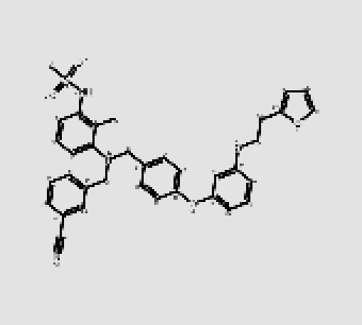 Cc1c(NS(C)(=O)=O)cccc1N(Cc1ccc(Oc2cccc(OCCc3ccco3)c2)cc1)Cc1cccc(C#N)c1